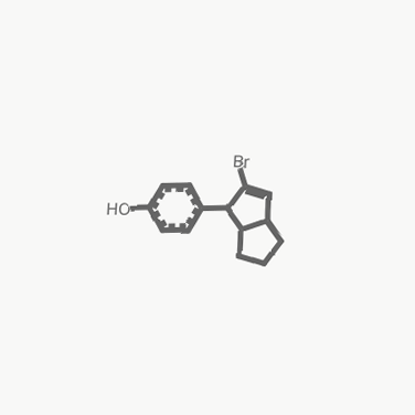 Oc1ccc(C2C(Br)=CC3CCCC32)cc1